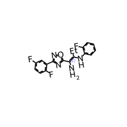 CC/C(Nc1ccccc1F)=C(/N)c1nc(-c2cc(F)ccc2F)no1